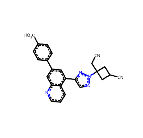 N#CCC1(n2ncc(-c3cc(-c4ccc(C(=O)O)cc4)cc4ncccc34)n2)CC(C#N)C1